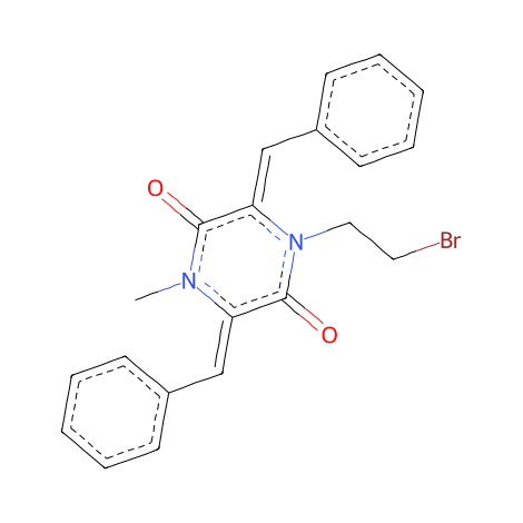 Cn1c(=O)/c(=C/c2ccccc2)n(CCBr)c(=O)/c1=C/c1ccccc1